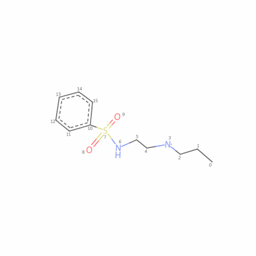 CCC[N]CCNS(=O)(=O)c1ccccc1